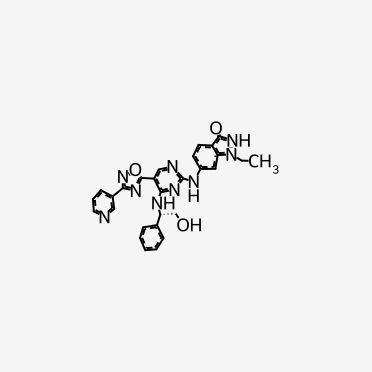 CCn1[nH]c(=O)c2ccc(Nc3ncc(-c4nc(-c5cccnc5)no4)c(N[C@H](CO)c4ccccc4)n3)cc21